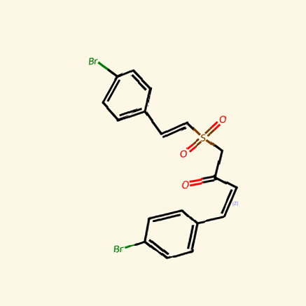 O=C(/C=C\c1ccc(Br)cc1)CS(=O)(=O)C=Cc1ccc(Br)cc1